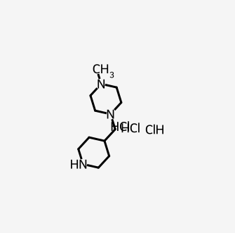 CN1CCN(CC2CCNCC2)CC1.Cl.Cl.Cl